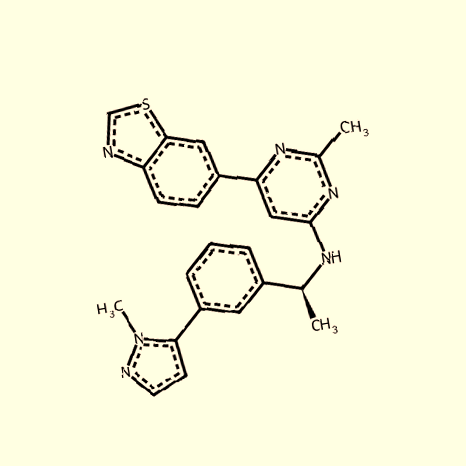 Cc1nc(N[C@@H](C)c2cccc(-c3ccnn3C)c2)cc(-c2ccc3ncsc3c2)n1